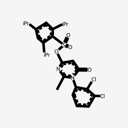 Cc1nc(OS(=O)(=O)c2c(C(C)C)cc(C(C)C)cc2C(C)C)cc(=O)n1-c1cccc(Cl)c1Cl